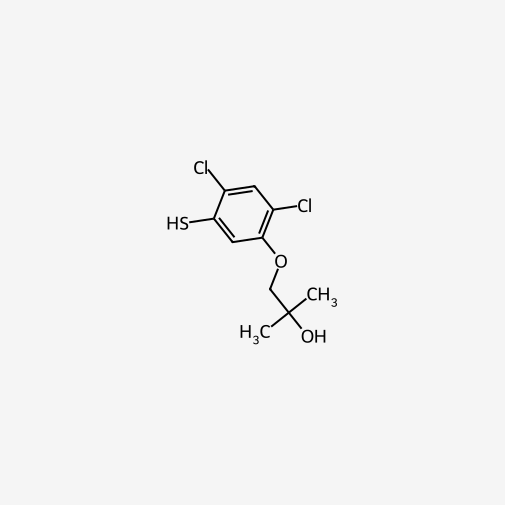 CC(C)(O)COc1cc(S)c(Cl)cc1Cl